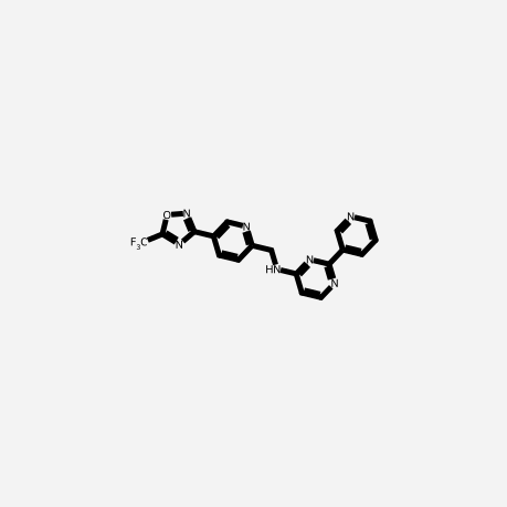 FC(F)(F)c1nc(-c2ccc(CNc3ccnc(-c4cccnc4)n3)nc2)no1